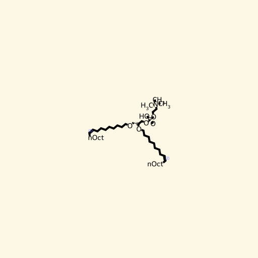 CCCCCCCC/C=C\CCCCCCCCOC[C@H](COP(=O)(O)OCC[N+](C)(C)C)OCCCCCCCC/C=C\CCCCCCCC